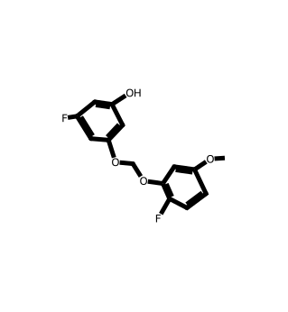 COc1ccc(F)c(OCOc2cc(O)cc(F)c2)c1